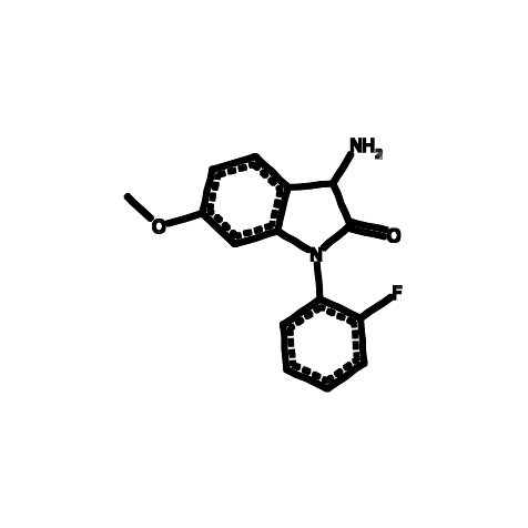 COc1ccc2c(c1)N(c1ccccc1F)C(=O)C2N